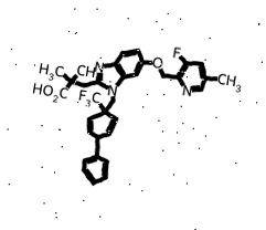 Cc1cnc(COc2ccc3nc(CC(C)(C)C(=O)O)n(CC4(C(F)(F)F)C=CC(c5ccccc5)C=C4)c3c2)c(F)c1